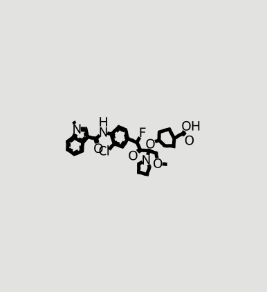 COCC(OC1CCC(C(=O)O)CC1)(C(=O)C(F)c1ccc(NC(=O)c2cn(C)c3ccccc23)c(Cl)c1)N1CCCC1